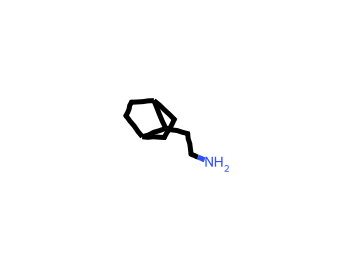 NCCC1C2CCC1CC2